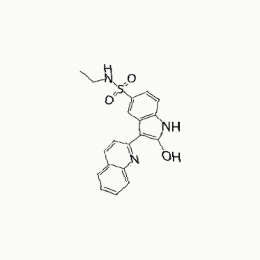 CCNS(=O)(=O)c1ccc2[nH]c(O)c(-c3ccc4ccccc4n3)c2c1